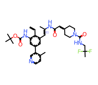 C=Cc1c(/C=C(\C)NC(=O)C=C2CCN(C(=O)NCC(C)(F)F)CC2)cc(-c2cnccc2C)cc1NC(=O)OC(C)(C)C